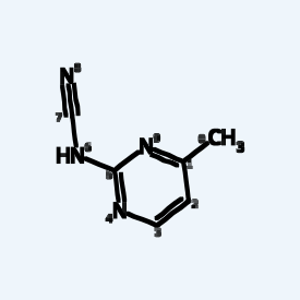 Cc1ccnc(NC#N)n1